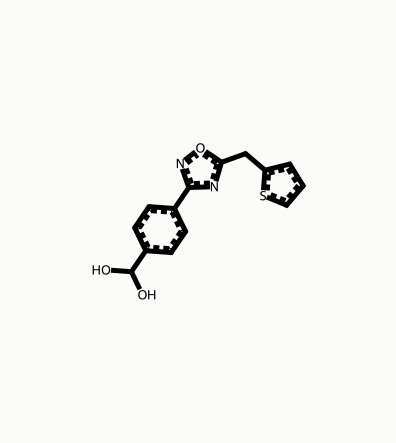 OC(O)c1ccc(-c2noc(Cc3cccs3)n2)cc1